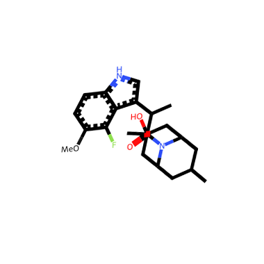 COc1ccc2[nH]cc(C(C)C(=O)N3C4CC(C)CC3CC(C)(O)C4)c2c1F